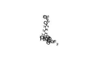 O=S(=O)(CCCCCCOCC1CO1)NS(=O)(=O)C(F)(F)F